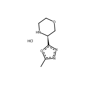 Cc1nnc([C@@H]2COCCN2)o1.Cl